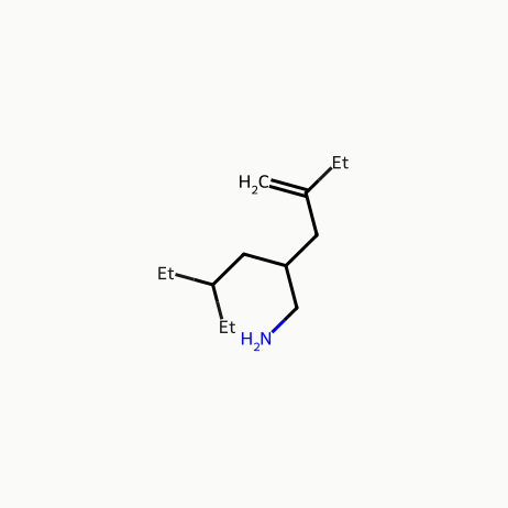 C=C(CC)CC(CN)CC(CC)CC